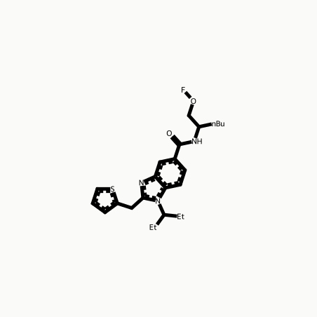 CCCCC(COF)NC(=O)c1ccc2c(c1)nc(Cc1cccs1)n2C(CC)CC